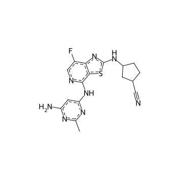 Cc1nc(N)cc(Nc2ncc(F)c3nc(NC4CCC(C#N)C4)sc23)n1